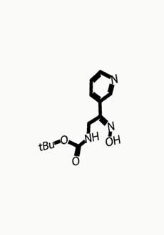 CC(C)(C)OC(=O)NCC(=NO)c1cccnc1